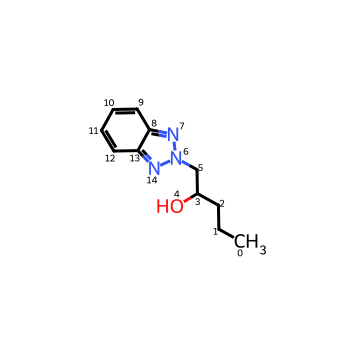 CCCC(O)Cn1nc2ccccc2n1